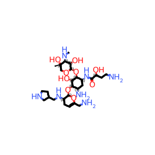 CN[C@@H]1[C@@H](O)[C@@H](O[C@@H]2[C@@H](O)[C@H](O[C@H]3OC(CN)=CC[C@H]3NCC3CCNC3)[C@@H](N)C[C@H]2NC(=O)[C@@H](O)CCN)OC[C@]1(C)O